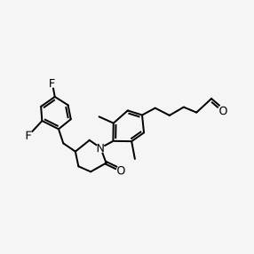 Cc1cc(CCCCC=O)cc(C)c1N1CC(Cc2ccc(F)cc2F)CCC1=O